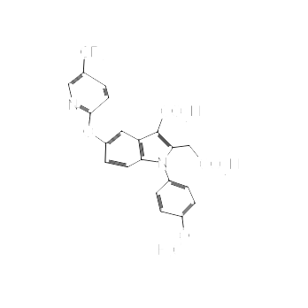 O=C(O)Cc1c(C(=O)O)c2cc(Oc3ccc(C(F)(F)F)cn3)ccc2n1-c1ccc(OC(F)(F)F)cc1